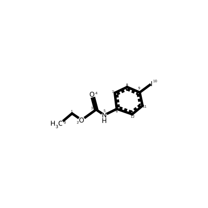 C[CH]OC(=O)Nc1ccc(I)cc1